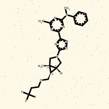 CN(c1ccccc1)c1nc(N)nc(-c2noc(N3C[C@@H]4[C@@H](COCCC(F)(F)F)[C@]4(C)C3)n2)n1